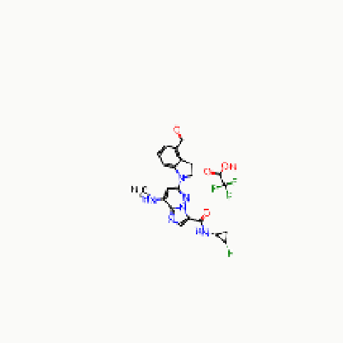 CNc1cc(N2CCc3c(C=O)cccc32)nn2c(C(=O)N[C@@H]3C[C@@H]3F)cnc12.O=C(O)C(F)(F)F